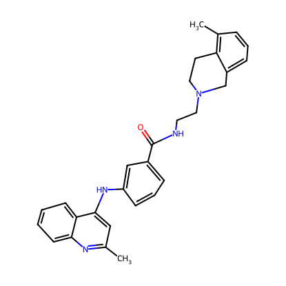 Cc1cc(Nc2cccc(C(=O)NCCN3CCc4c(C)cccc4C3)c2)c2ccccc2n1